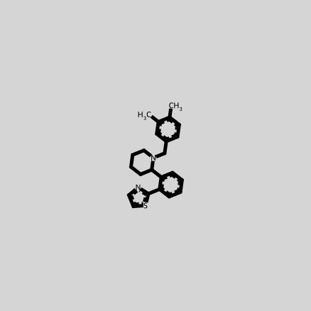 Cc1ccc(CN2CCCCC2c2ccccc2-c2nccs2)cc1C